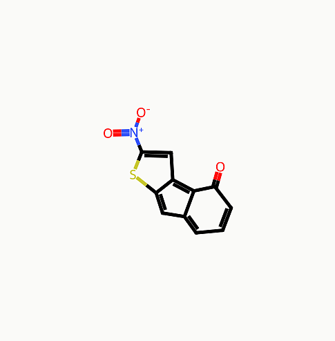 O=C1C=CC=C2C=c3sc([N+](=O)[O-])cc3=C12